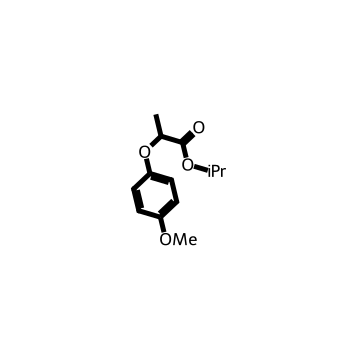 COc1ccc(OC(C)C(=O)OC(C)C)cc1